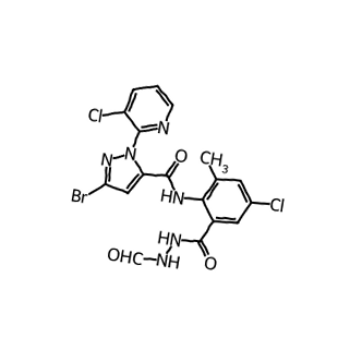 Cc1cc(Cl)cc(C(=O)NNC=O)c1NC(=O)c1cc(Br)nn1-c1ncccc1Cl